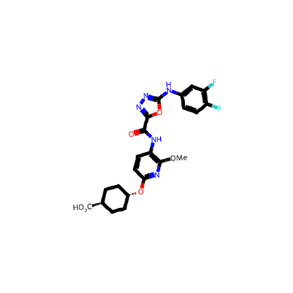 COc1nc(O[C@H]2CC[C@H](C(=O)O)CC2)ccc1NC(=O)c1nnc(Nc2ccc(F)c(F)c2)o1